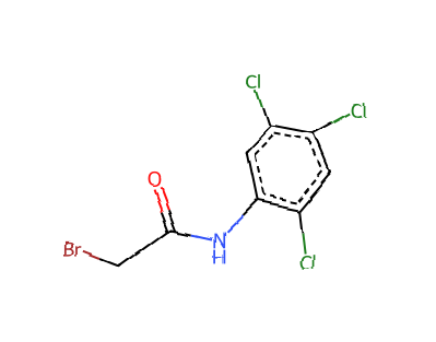 O=C(CBr)Nc1cc(Cl)c(Cl)cc1Cl